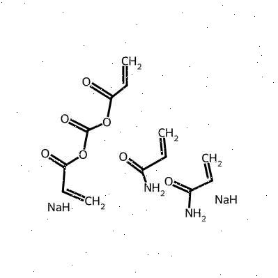 C=CC(=O)OC(=O)OC(=O)C=C.C=CC(N)=O.C=CC(N)=O.[NaH].[NaH]